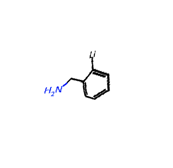 [Li][c]1ccccc1CN